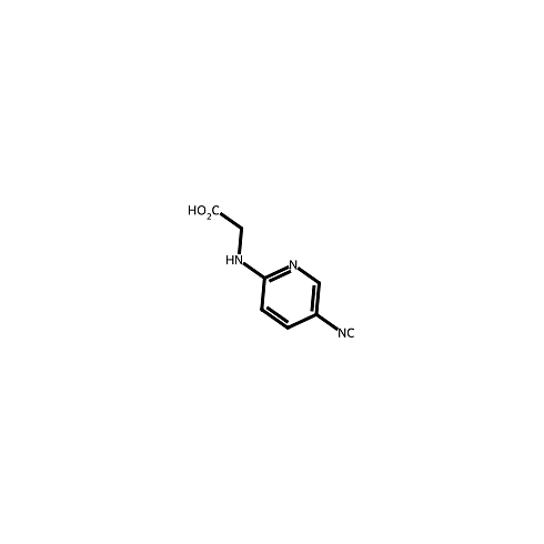 [C-]#[N+]c1ccc(NCC(=O)O)nc1